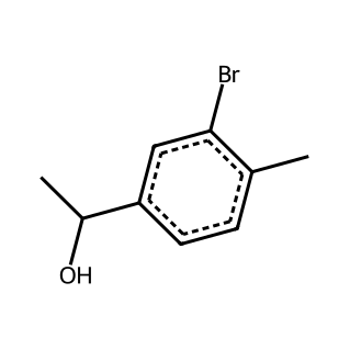 Cc1ccc(C(C)O)cc1Br